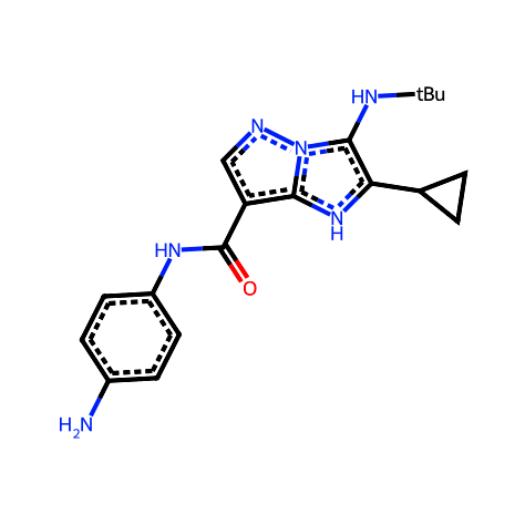 CC(C)(C)Nc1c(C2CC2)[nH]c2c(C(=O)Nc3ccc(N)cc3)cnn12